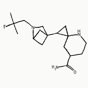 CC(C)(F)CN1CC2(C3CC34CC(C(N)=O)CCN4)CC1C2